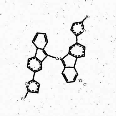 CCc1ccc(-c2ccc3c(c2)[C]([Zr+2][C]2=C4C=CC=CC4c4ccc(-c5ccc(CC)o5)cc42)=C2C=CC=CC23)o1.[Cl-].[Cl-]